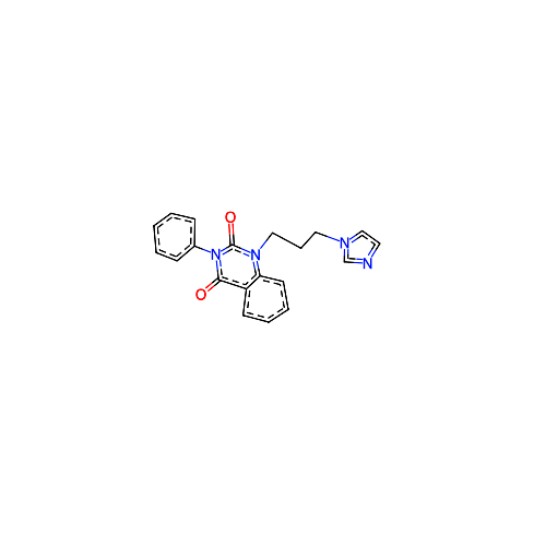 O=c1c2ccccc2n(CCCn2ccnc2)c(=O)n1-c1ccccc1